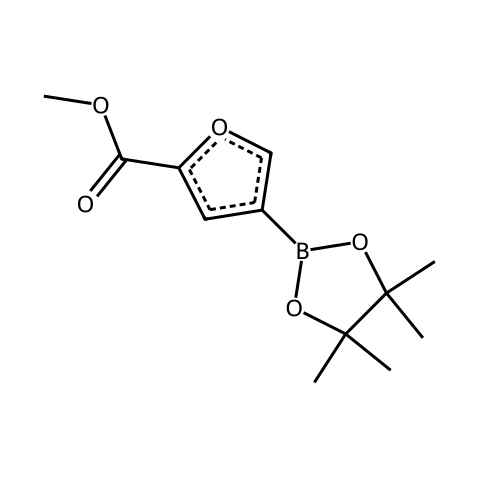 COC(=O)c1cc(B2OC(C)(C)C(C)(C)O2)co1